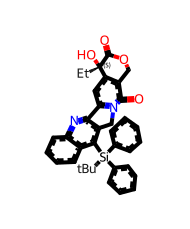 CC[C@@]1(O)C(=O)OCc2c1cc1n(c2=O)Cc2c-1nc1ccccc1c2[Si](c1ccccc1)(c1ccccc1)C(C)(C)C